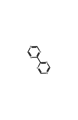 c1ncnc(-c2ncncn2)n1